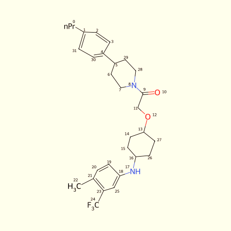 CCCc1ccc(C2CCN(C(=O)COC3CCC(Nc4ccc(C)c(C(F)(F)F)c4)CC3)CC2)cc1